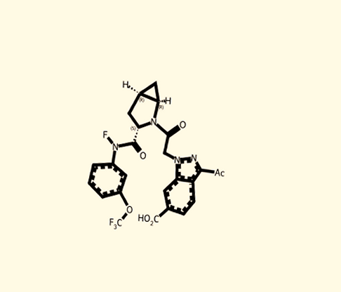 CC(=O)c1nn(CC(=O)N2[C@@H]3C[C@@H]3C[C@H]2C(=O)N(F)c2cccc(OC(F)(F)F)c2)c2cc(C(=O)O)ccc12